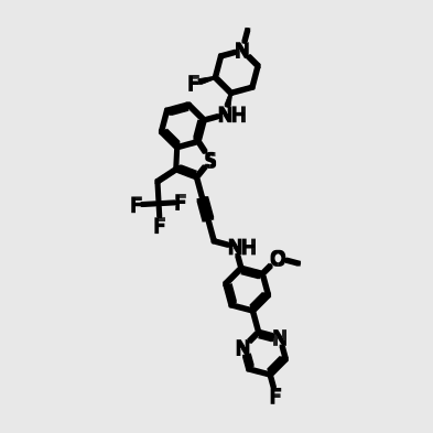 COc1cc(-c2ncc(F)cn2)ccc1NCC#Cc1sc2c(N[C@@H]3CCN(C)C[C@@H]3F)cccc2c1CC(F)(F)F